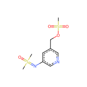 CS(=O)(=O)OCc1cncc(N=S(C)(C)=O)c1